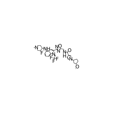 CO[C@@H]1CC[C@H](n2ccc(C(=O)NCc3nc(-c4cc5c(N[C@@H]6CCN(C)C[C@@H]6F)cccc5n4CC(F)(F)F)no3)c2)C1